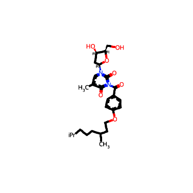 Cc1cn([C@H]2C[C@@H](O)[C@@H](CO)O2)c(=O)n(C(=O)c2ccc(OCCC(C)CCCC(C)C)cc2)c1=O